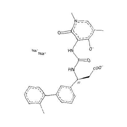 Cc1ccccc1-c1cccc([C@H](CC(=O)[O-])NC(=O)Nc2c([O-])c(C)cn(C)c2=O)c1.[Na+].[Na+]